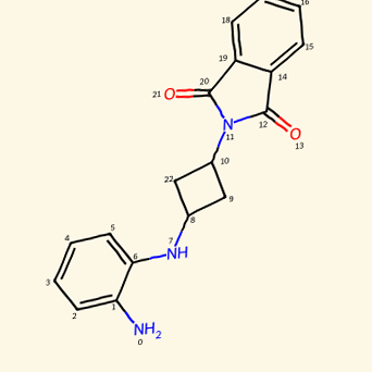 Nc1ccccc1NC1CC(N2C(=O)c3ccccc3C2=O)C1